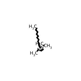 CCCCCCCCCCCC1N(CC)C=CN1C(C)C